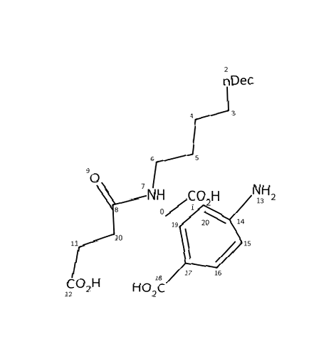 CC(=O)O.CCCCCCCCCCCCCCNC(=O)CCC(=O)O.Nc1ccc(C(=O)O)cc1